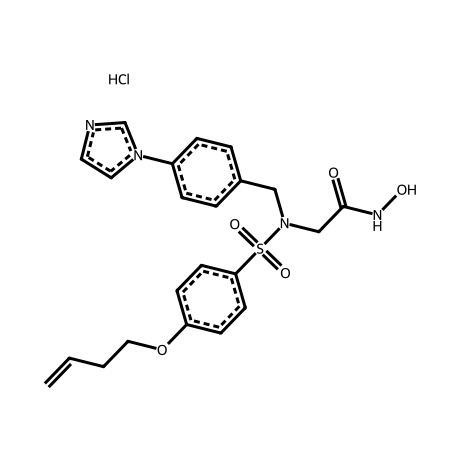 C=CCCOc1ccc(S(=O)(=O)N(CC(=O)NO)Cc2ccc(-n3ccnc3)cc2)cc1.Cl